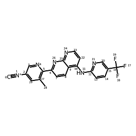 [C-]#[N+]c1cnc(-c2ccc3c(Nc4ccc(C(F)(F)F)cn4)ccnc3n2)c(C)c1